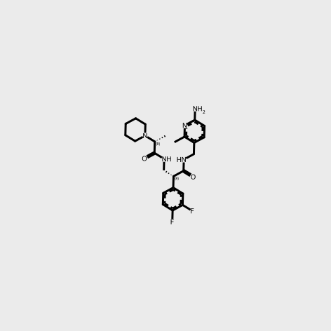 Cc1nc(N)ccc1CNC(=O)[C@@H](CNC(=O)[C@@H](C)N1CCCCC1)c1ccc(F)c(F)c1